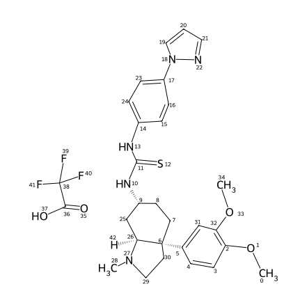 COc1ccc([C@@]23CC[C@@H](NC(=S)Nc4ccc(-n5cccn5)cc4)C[C@@H]2N(C)CC3)cc1OC.O=C(O)C(F)(F)F